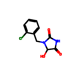 O=C1NC(=O)N(Cc2ccccc2Cl)C1O